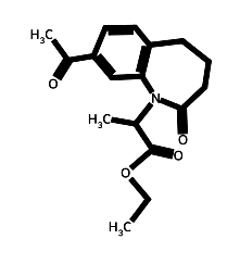 CCOC(=O)C(C)N1C(=O)CCCc2ccc(C(C)=O)cc21